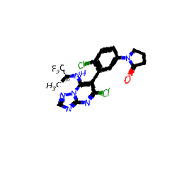 C[C@@H](Nc1c(-c2cc(N3CCCC3=O)ccc2Cl)c(Cl)nc2ncnn12)C(F)(F)F